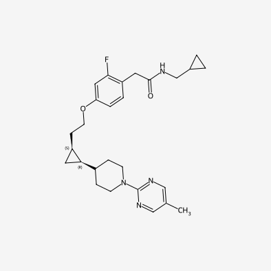 Cc1cnc(N2CCC([C@H]3C[C@H]3CCOc3ccc(CC(=O)NCC4CC4)c(F)c3)CC2)nc1